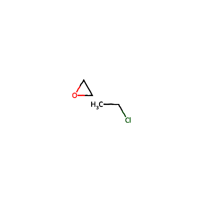 C1CO1.CCCl